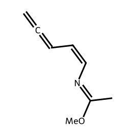 C=C=C/C=C\N=C(/C)OC